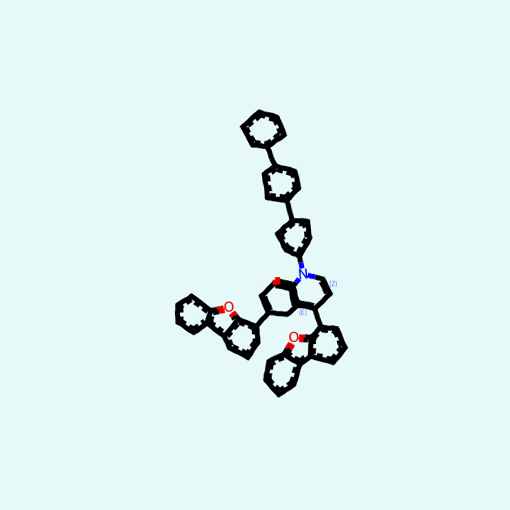 C=C/C=C(\C=C/N(C1=CC=C(c2cccc3c2oc2ccccc23)CC1)c1ccc(-c2ccc(-c3ccccc3)cc2)cc1)c1cccc2c1oc1ccccc12